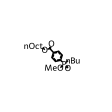 CCCCCCCCOC(=O)c1ccc(P(=O)(CCCC)OC)cc1